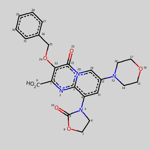 O=C(O)c1nc2c(N3CCOC3=O)cc(N3CCOCC3)cn2c(=O)c1OCc1ccccc1